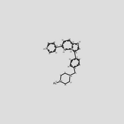 CC(=O)N1CCN(Cc2ccc(-c3cnc4ccc(-c5ccncc5)nn34)cc2)CC1